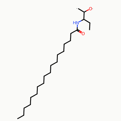 [CH2]C([O])C(CC)NC(=O)CCCCCCCCCCCCCCCCC